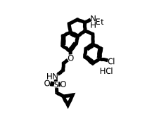 CCNC1CCc2ccc(OCCNS(=O)(=O)CC3CC3)cc2C1Cc1cccc(Cl)c1.Cl